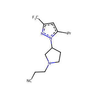 CC(C)c1cc(C(F)(F)F)nn1C1CCN(CCC#N)C1